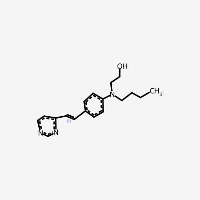 CCCCN(CCO)c1ccc(/C=C/c2ccncn2)cc1